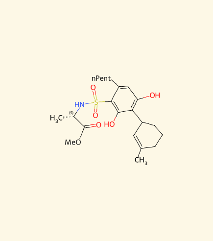 CCCCCc1cc(O)c(C2C=C(C)CCC2)c(O)c1S(=O)(=O)N[C@@H](C)C(=O)OC